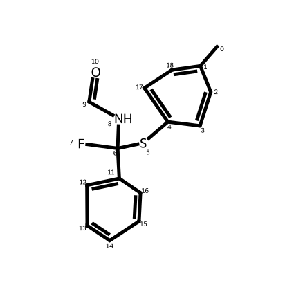 Cc1ccc(SC(F)(NC=O)c2ccccc2)cc1